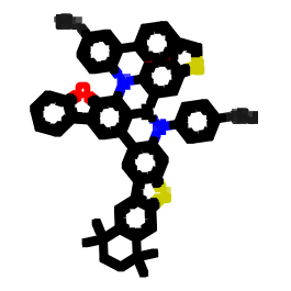 CC(C)(C)c1ccc(N2B3c4cc5sccc5cc4N(c4ccc(C(C)(C)C)cc4-c4ccccc4)c4c3c(cc3c4oc4ccccc43)-c3cc4c(cc32)sc2cc3c(cc24)C(C)(C)CCC3(C)C)cc1